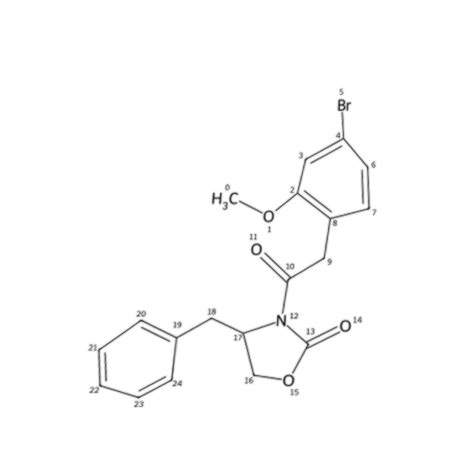 COc1cc(Br)ccc1CC(=O)N1C(=O)OCC1Cc1ccccc1